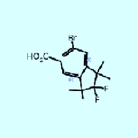 C=C(Br)/C=C1\C(=C/CC(=O)O)C(C)(C)C(F)(F)C1(C)C